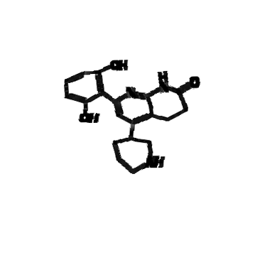 O=C1CCc2c(C3CCCNC3)cc(-c3c(O)cccc3O)nc2N1